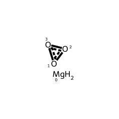 [MgH2].o1oo1